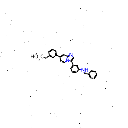 O=C(O)Cc1cccc(-c2ccn3c(-c4cccc(NCc5ccccc5)c4)cnc3c2)c1